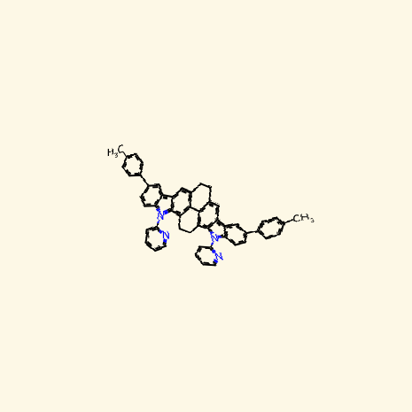 Cc1ccc(-c2ccc3c(c2)c2cc4c5c(c2n3-c2ccccn2)CCc2c-5c(cc3c5cc(-c6ccc(C)cc6)ccc5n(-c5ccccn5)c23)CC4)cc1